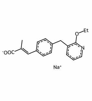 CCOc1ncccc1Cc1ccc(C=C(C)C(=O)[O-])cc1.[Na+]